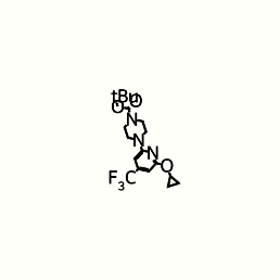 CC(C)(C)OC(=O)N1CCN(c2cc(C(F)(F)F)cc(OC3CC3)n2)CC1